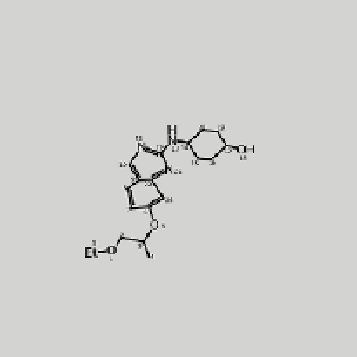 CCOCC(C)Oc1ccc2cnc(NC3CCC(O)CC3)nc2c1